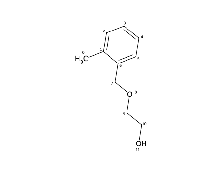 Cc1ccccc1COCCO